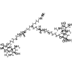 [N-]=[N+]=NCCCCCN(CCCCNC(=S)NCCSCCCCO[C@@H]1C(O)[C@H](N)CC(N)[C@@H]1O[C@@H]1OC(CN)[C@@H](O)CC1N)CCCNC(=S)NCCSCCCCCO[C@@H]1C(O)[C@H](N)CC(N)[C@@H]1O[C@@H]1OC(CN)[C@@H](O)CC1N